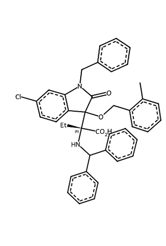 CC[C@](NC(c1ccccc1)c1ccccc1)(C(=O)O)C1(OCc2ccccc2C)C(=O)N(Cc2ccccc2)c2cc(Cl)ccc21